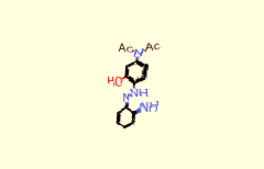 CC(=O)N(C(C)=O)c1ccc(N/N=C2/C=CC=CC2=N)c(O)c1